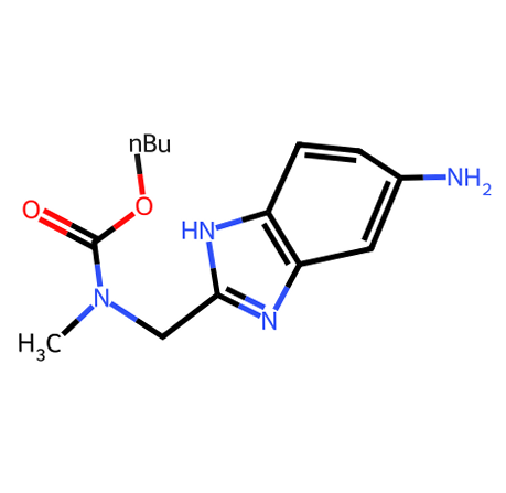 CCCCOC(=O)N(C)Cc1nc2cc(N)ccc2[nH]1